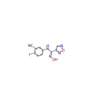 N#Cc1cc(NC(=NO)c2cnon2)ccc1F